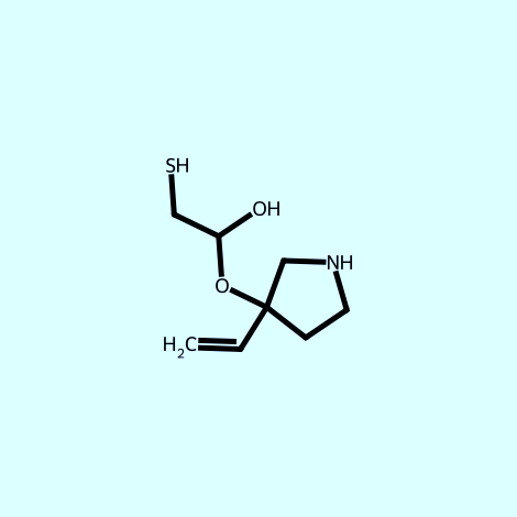 C=CC1(OC(O)CS)CCNC1